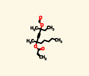 C=CC(=O)OC(C)(C#CC(C)(CC)OC=O)CCCCC